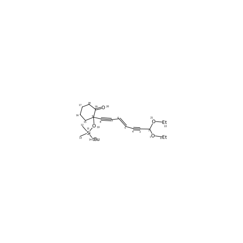 CCOC(C#CC=CC#CC1(O[Si](C)(C)C(C)(C)C)CCCCC1=O)OCC